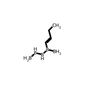 BBBB(B)C=CCC